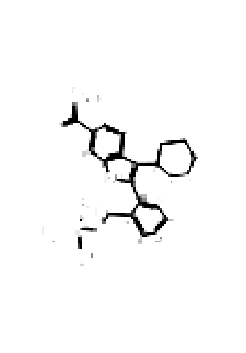 COC(=O)c1ccc2c(C3CCCCC3)c(-c3ccccc3CO[Si](C)(C)C(C)(C)C)[nH]c2c1